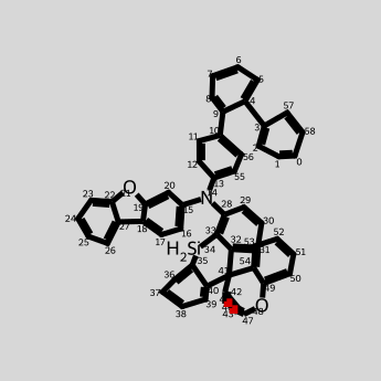 c1ccc(-c2ccccc2-c2ccc(N(c3ccc4c(c3)oc3ccccc34)c3cccc4c3[SiH2]c3ccccc3C43c4ccccc4Oc4ccccc43)cc2)cc1